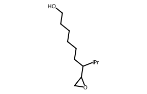 CC(C)C(CCCCCCO)C1CO1